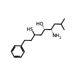 CC(C)C[C@H](N)[C@@H](O)CC(S)CCc1ccccc1